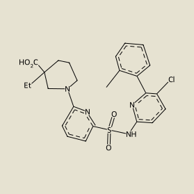 CCC1(C(=O)O)CCCN(c2cccc(S(=O)(=O)Nc3ccc(Cl)c(-c4ccccc4C)n3)n2)C1